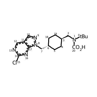 CC(C)(C)N(C[C@H]1CC[C@H](Cn2ncc3cnc(Cl)nc32)CC1)C(=O)O